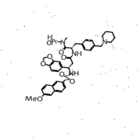 COc1ccc2cc(S(=O)(=O)N[C@H](CC(=O)N[C@H](Cc3ccc(CN4[C@H](C)CCC[C@@H]4C)cc3)C(=O)N(C)C(C)C)c3ccc4c(c3)OCO4)ccc2c1.Cl